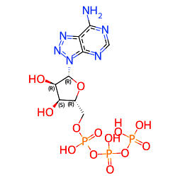 Nc1ncnc2c1nnn2[C@@H]1O[C@H](COP(=O)(O)OP(=O)(O)OP(=O)(O)O)[C@@H](O)[C@H]1O